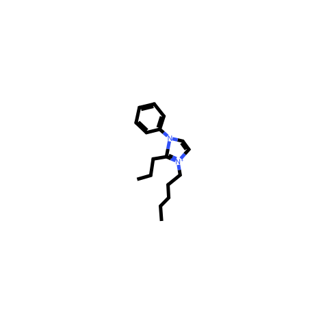 CCCCC[n+]1ccn(-c2ccccc2)c1CCC